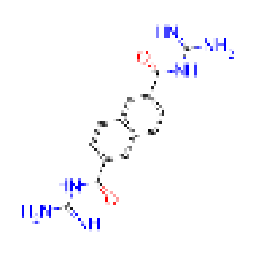 N=C(N)NC(=O)c1ccc2cc(C(=O)NC(=N)N)ccc2c1